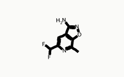 Cc1nc(C(F)F)cc2c(N)noc12